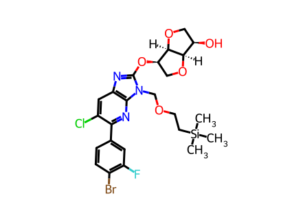 C[Si](C)(C)CCOCn1c(O[C@@H]2CO[C@H]3[C@@H]2OC[C@H]3O)nc2cc(Cl)c(-c3ccc(Br)c(F)c3)nc21